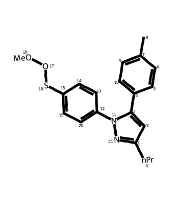 CCCc1cc(-c2ccc(C)cc2)n(-c2ccc(SOOC)cc2)n1